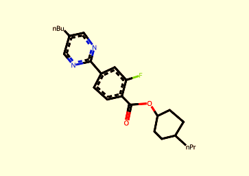 CCCCc1cnc(-c2ccc(C(=O)OC3CCC(CCC)CC3)c(F)c2)nc1